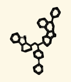 C1=CC(CC(c2ccc(-c3ccccc3)cc2)c2ccc3oc4cc(-c5ccccc5)c5ccccc5c4c3c2)C2Sc3ccccc3C2=C1